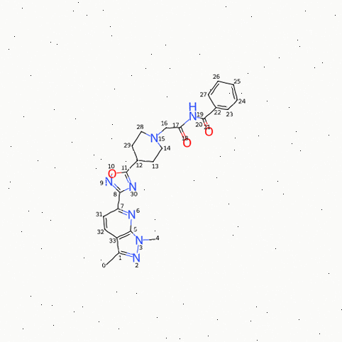 Cc1nn(C)c2nc(-c3noc(C4CCN(CC(=O)NC(=O)c5ccccc5)CC4)n3)ccc12